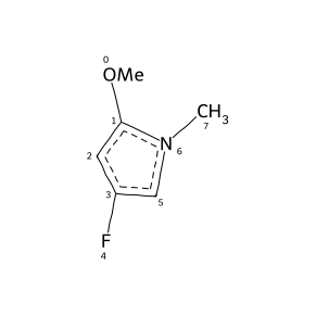 COc1cc(F)cn1C